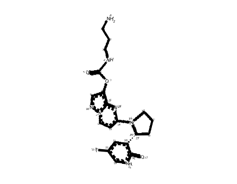 NCCCNC(=O)Oc1cnn2ccc(N3CCC[C@@H]3c3cc(F)c[nH]c3=O)nc12